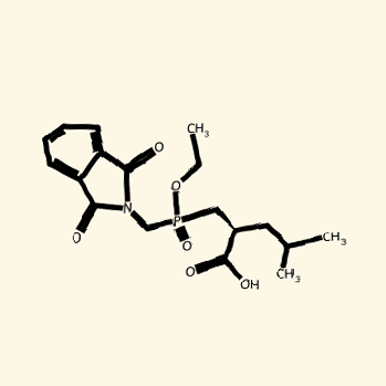 CCOP(=O)(C[C@@H](CC(C)C)C(=O)O)CN1C(=O)c2ccccc2C1=O